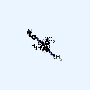 C/C=C/C=C/COC(=O)C1=C(C)NC(C)=C(C(=O)OC/C=C/c2ccc(Cn3ccnc3)cc2)C1c1cccc([N+](=O)[O-])c1